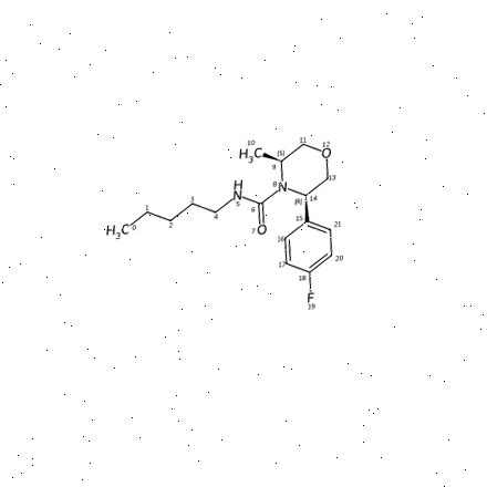 CCCCCNC(=O)N1[C@@H](C)COC[C@H]1c1ccc(F)cc1